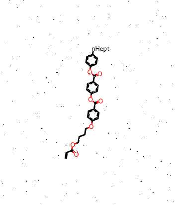 C=CC(=O)OCCCCOc1ccc(C(=O)Oc2ccc(C(=O)Oc3ccc(CCCCCCC)cc3)cc2)cc1